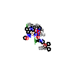 CC(C)[Si](C#Cc1c(F)ccc2cc3c(cnn3C3CCCCO3)c(-c3nccc4c3sc3nc(OC[C@]5(CN6CCC(CO[Si](c7ccccc7)(c7ccccc7)C(C)(C)C)CC6)CC5(F)F)nc(N5C[C@H]6CC[C@@H](C5)N6C(=O)OC(C)(C)C)c34)c12)(C(C)C)C(C)C